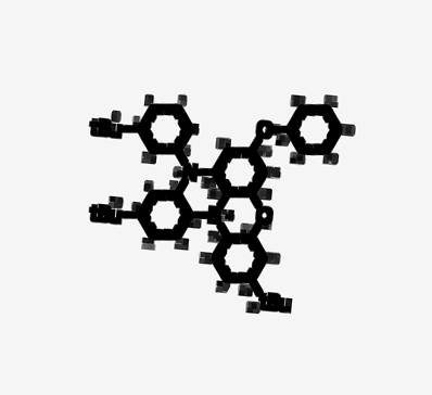 CC(C)(C)c1cccc(N2c3cc(C(C)(C)C)ccc3B3c4ccc(C(C)(C)C)cc4Oc4cc(Oc5ccccc5)cc2c43)c1